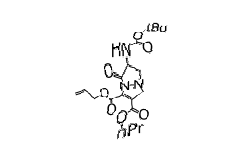 C=CCOC(=O)C1=C(C(=O)OCCC)CN2C[C@H](NC(=O)OC(C)(C)C)C(=O)N12